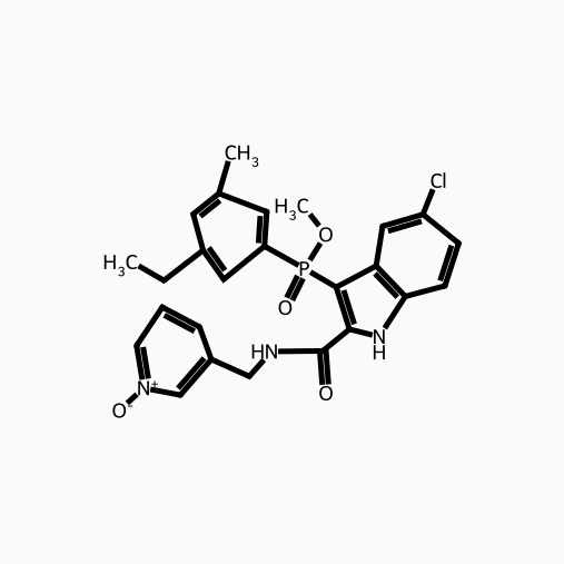 CCc1cc(C)cc(P(=O)(OC)c2c(C(=O)NCc3ccc[n+]([O-])c3)[nH]c3ccc(Cl)cc23)c1